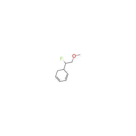 COCC(F)C1C=CC=CC1